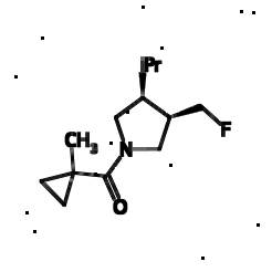 CC(C)[C@@H]1CN(C(=O)C2(C)CC2)C[C@@H]1CF